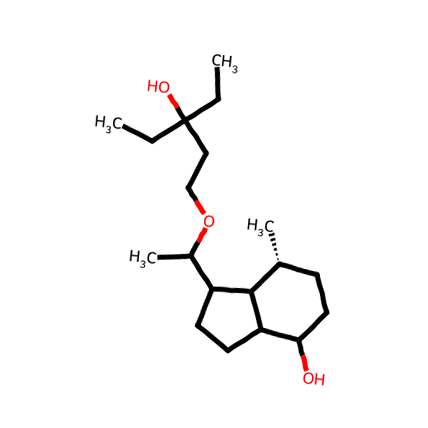 CCC(O)(CC)CCOC(C)C1CCC2C(O)CC[C@@H](C)C21